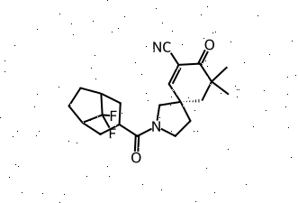 CC1(C)C[C@]2(C=C(C#N)C1=O)CCN(C(=O)C1CC3CCC(C1)C3(F)F)C2